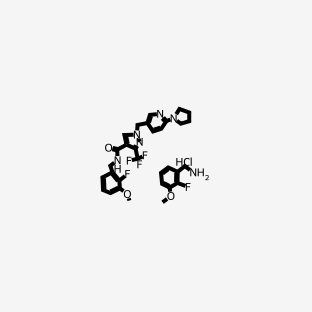 COc1cccc(CN)c1F.COc1cccc(CNC(=O)c2cn(Cc3ccc(N4CCCC4)nc3)nc2C(F)(F)F)c1F.Cl